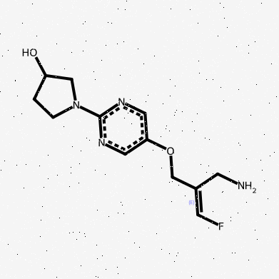 NC/C(=C\F)COc1cnc(N2CCC(O)C2)nc1